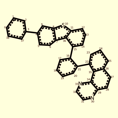 c1ccc(-c2ccc3c(c2)sc2cccc(-c4ccccc4-c4cccc5ccc6nccnc6c45)c23)cc1